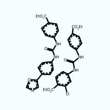 CCOC(=O)c1ccc(NC(=O)Nc2ccc(-c3cnco3)cc2)cc1.CCOC(=O)c1ccc(NC(=O)Nc2ccc(C(=O)OCC)c(Cl)c2)cc1